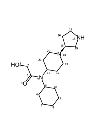 O=C(CO)N(C1CCCCC1)C1CCN([C@H]2CCNC2)CC1